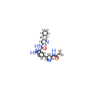 O=C(Nc1cncc(Cc2ccccc2)c1)c1n[nH]c2ccc(-c3cncc(NC(=O)C4CC4)c3)cc12